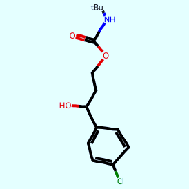 CC(C)(C)NC(=O)OCCC(O)c1ccc(Cl)cc1